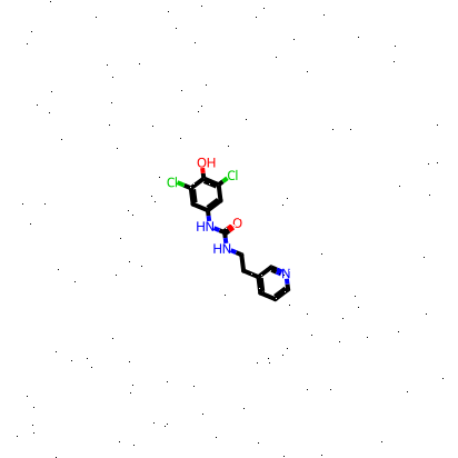 O=C(NCCc1cccnc1)Nc1cc(Cl)c(O)c(Cl)c1